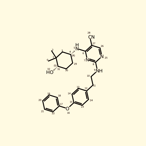 CC1(C)C[C@H](Nc2nc(NCCc3ccc(Oc4ccccc4)cc3)ncc2C#N)CC[C@@H]1O